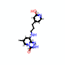 Cc1cc(NCCCc2ccnc(O)c2)c2n[nH]c(=O)n2c1